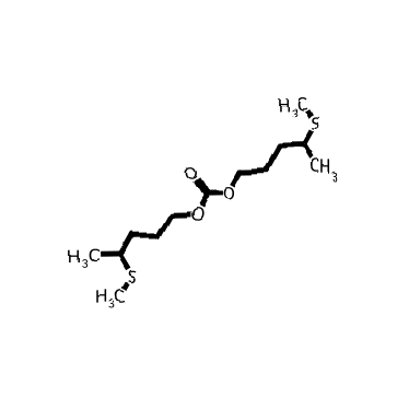 CSC(C)CCCOC(=O)OCCCC(C)SC